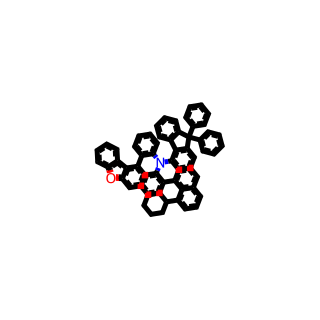 c1ccc(C2(c3ccccc3)c3ccccc3-c3c(N(c4ccccc4-c4cccc5cccc(C6CCCCC6)c45)c4ccccc4-c4cccc5oc6ccccc6c45)cccc32)cc1